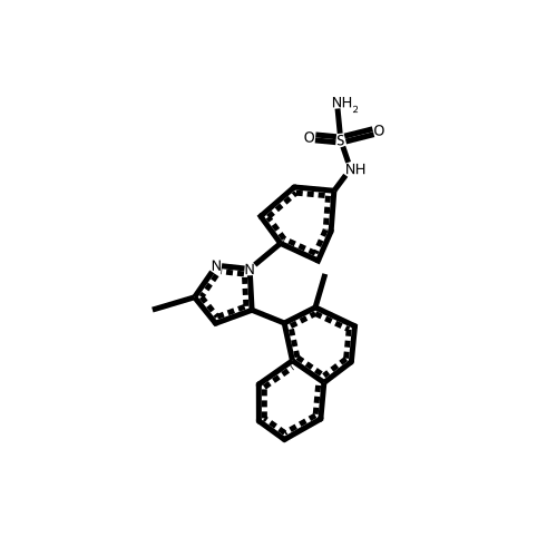 Cc1cc(-c2c(C)ccc3ccccc23)n(-c2ccc(NS(N)(=O)=O)cc2)n1